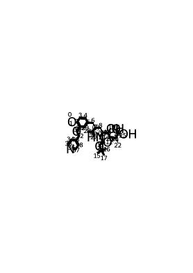 COc1ccc(C[C@@H](C[C@H](NC(=O)OC(C)(C)C)[C@@H](O)C[C@@H](C)C(=O)O)C(C)C)cc1OCc1ccncc1